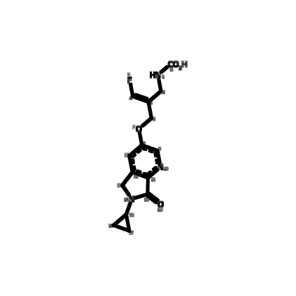 O=C(O)NCC(=CF)COc1cnc2c(c1)CN(C1CC1)C2=O